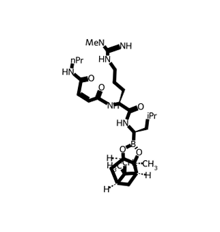 CCCNC(=O)/C=C\C(=O)N[C@@H](CCCNC(=N)NC)C(=O)N[C@@H](CC(C)C)B1O[C@@H]2C[C@@H]3C[C@@H](C3(C)C)[C@]2(C)O1